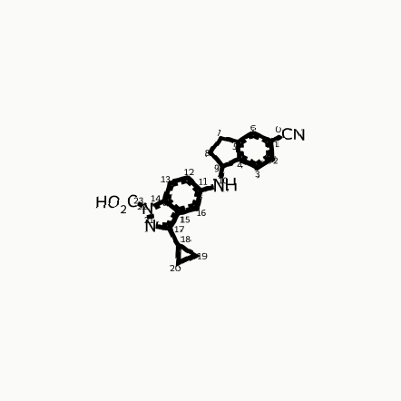 N#Cc1ccc2c(c1)CCC2Nc1ccc2c(c1)c(C1CC1)nn2C(=O)O